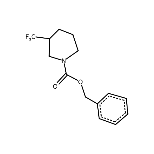 O=C(OCc1ccccc1)N1CCCC(C(F)(F)F)C1